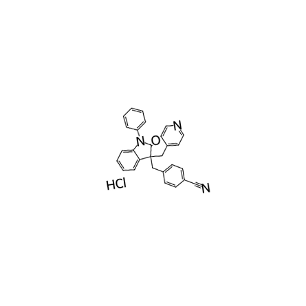 Cl.N#Cc1ccc(CC2(Cc3ccncc3)C(=O)N(c3ccccc3)c3ccccc32)cc1